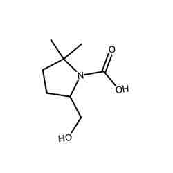 CC1(C)CCC(CO)N1C(=O)O